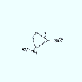 C#Cc1cc(NC(=O)O)ccc1F